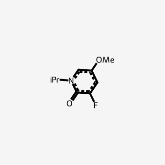 COc1cc(F)c(=O)n(C(C)C)c1